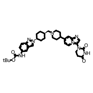 CC(C)(C)OC(=O)Nc1ccc2nn([C@H]3CC[C@H](CN4CCC(c5ccn6c(N7CCC(=O)NC7=O)cnc6c5)CC4)CC3)cc2c1